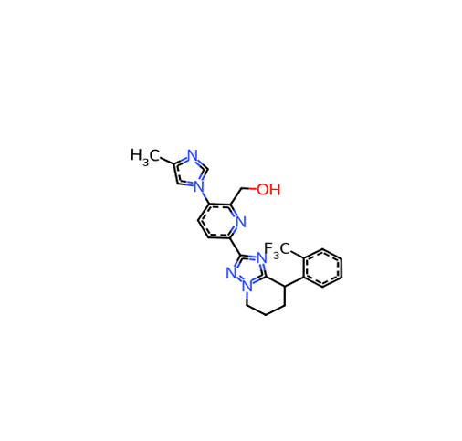 Cc1cn(-c2ccc(-c3nc4n(n3)CCCC4c3ccccc3C(F)(F)F)nc2CO)cn1